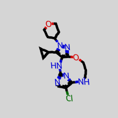 Clc1cnc2nc1NCCCOc1nn(C3CCOCC3)c(C3CC3)c1N2